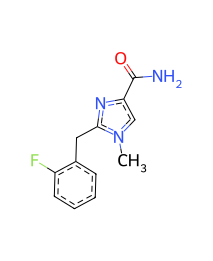 Cn1cc(C(N)=O)nc1Cc1ccccc1F